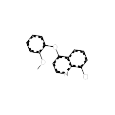 COc1ccccc1Oc1ccnc2c(Cl)cccc12